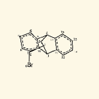 BrCC1CC2c3ccccc3C1c1ccccc12